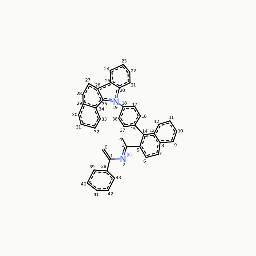 C=C(/N=C(\C)c1ccc2ccccc2c1-c1ccc(-n2c3ccccc3c3ccc4ccccc4c32)cc1)c1ccccc1